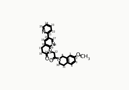 COc1ccc2c(c1)CN(C(=O)CN1C(=O)CCc3cc(-c4ccccn4)cnc31)CC2